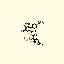 C/C=N\c1[nH]nc(N)c1C(=O)NC(C)c1cc(Cl)c2cn[nH]c2c1C1=CCC(OC)CC1